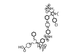 Cc1c(C(=O)NS(C)(=O)=O)c(-c2cccc(N3CCN(c4ccc(NS(=O)(=O)c5ccc(N[C@H](CCN6CCC(C(=O)O)CC6)CSc6ccccc6)c(S(=O)(=O)C(F)(F)F)c5)cc4)CC3)c2)c(-c2ccc(Cl)cc2)n1C(C)C